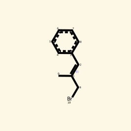 C/C(=C\c1ccccc1)CBr